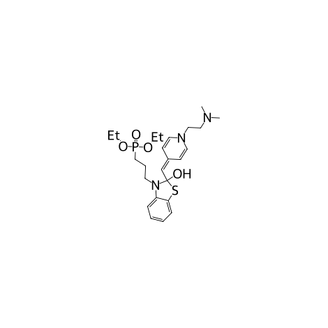 CCOP(=O)(CCCN1c2ccccc2SC1(O)C=C1C=CN(CCN(C)C)C=C1)OCC